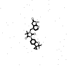 CC1(C)C(=O)N(c2ccc3c(c2)OC(F)(F)C32CC2)C(=O)N1Cc1ccnc2c1CC(=O)N2